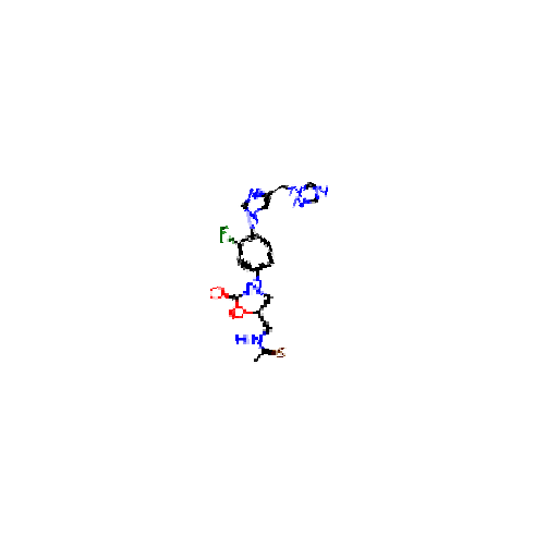 CC(=S)NCC1CN(c2ccc(-n3cnc(Cn4cncn4)c3)c(F)c2)C(=O)O1